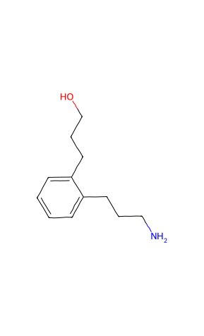 NCCCc1ccccc1CCCO